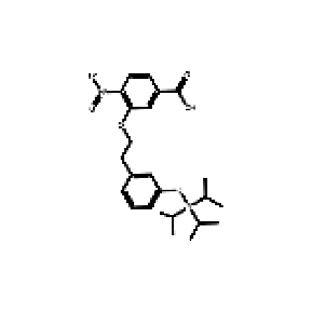 CC(C)[Si](Oc1cccc(CCOc2cc(C(=O)O)ccc2[N+](=O)[O-])c1)(C(C)C)C(C)C